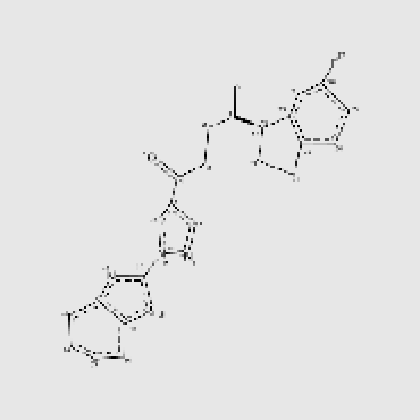 CC(CCC(=O)c1cnn(-c2nc3ccccc3s2)c1)[C@@H]1CCc2ccc(F)cc21